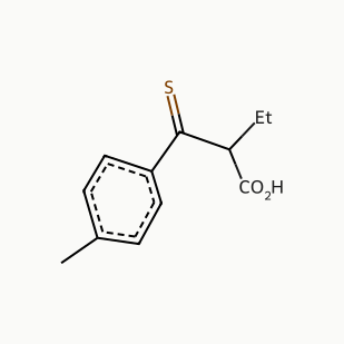 CCC(C(=O)O)C(=S)c1ccc(C)cc1